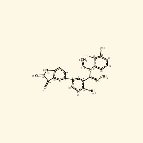 C=NN(/C(=N\N)c1cc(-c2ccc3c(c2)C(=O)C(=O)N3)cnc1N)c1cccc(F)c1F